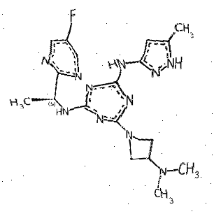 Cc1cc(Nc2nc(N[C@@H](C)c3ncc(F)cn3)nc(N3CC(N(C)C)C3)n2)n[nH]1